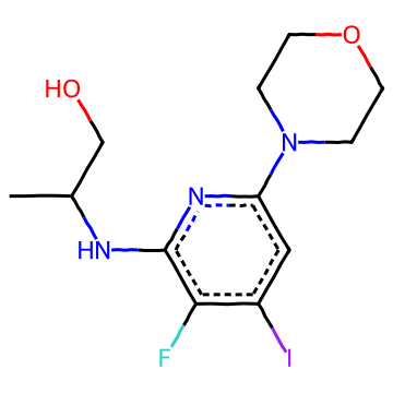 CC(CO)Nc1nc(N2CCOCC2)cc(I)c1F